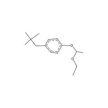 CCOC(C)Oc1ccc(CC(C)(C)C)cc1